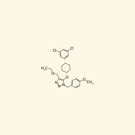 CCOCc1nnn(Cc2ccc(OC)cc2)c1O[C@H]1CC[C@@H](c2cc(Cl)cc(Cl)c2)CC1